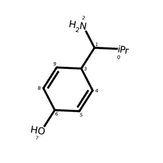 CC(C)C(N)C1C=CC(O)C=C1